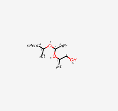 CCCCCC(CC)OC(CCC)OC(CC)CO